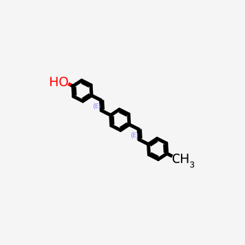 Cc1ccc(/C=C/c2ccc(/C=C/c3ccc(O)cc3)cc2)cc1